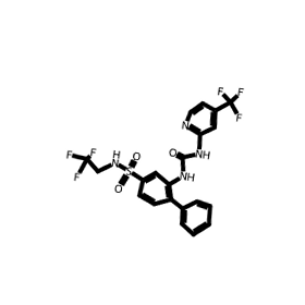 O=C(Nc1cc(C(F)(F)F)ccn1)Nc1cc(S(=O)(=O)NCC(F)(F)F)ccc1-c1ccccc1